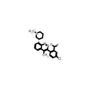 Cc1c(-c2ccc(Cl)cc2C(F)F)nnc2c([C@H]3CCCN(C)C3)cccc12